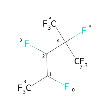 FC(C(F)C(F)(C(F)(F)F)C(F)(F)F)C(F)(F)F